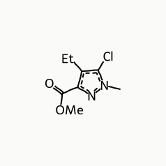 CCc1c(C(=O)OC)nn(C)c1Cl